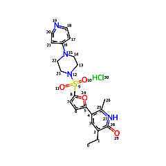 CCc1cc(-c2ccc(S(=O)(=O)N3CCN(c4ccncc4)CC3)o2)c(C)[nH]c1=O.Cl